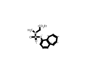 CCOC(=O)CN(C)P(=O)(Cl)Oc1cccc2c1CC=CC=C2